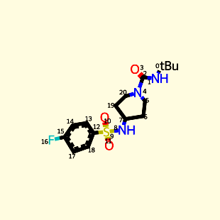 CC(C)(C)NC(=O)N1CCC(NS(=O)(=O)c2ccc(F)cc2)CC1